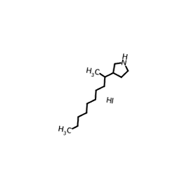 CCCCCCCCC(C)C1CCNC1.I